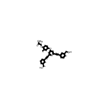 COC(=O)COc1ccc(Sc2cc(C#Cc3cccc(CO)c3)nc(C#Cc3cccc(CO)c3)c2)cc1C